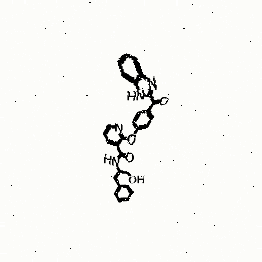 O=C(c1ccc(Oc2ncccc2C(=O)NC(CO)Cc2ccccc2)cc1)c1nc2ccccc2[nH]1